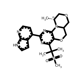 C[C@@H]1COCC2COc3c(nc(-c4ccnc5[nH]ccc45)nc3C(C)(C)S(C)(=O)=O)N21